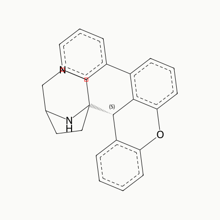 c1cncc(-c2cccc3c2[C@@H](C24CCCC(CC2)N4)c2ccccc2O3)c1